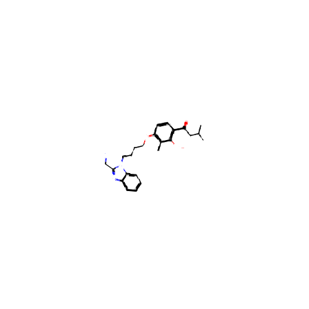 Cc1c(OCCCCn2c(CN)nc3ccccc32)ccc(C(=O)CC(C)C)c1O